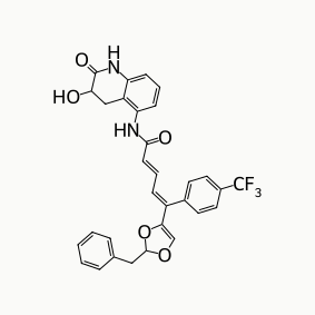 O=C(/C=C/C=C(/C1=COC(Cc2ccccc2)O1)c1ccc(C(F)(F)F)cc1)Nc1cccc2c1CC(O)C(=O)N2